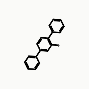 Fc1cc(-c2ccccc2)ccc1-c1[c]cccc1